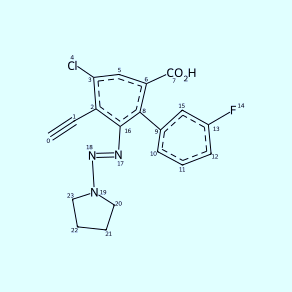 C#Cc1c(Cl)cc(C(=O)O)c(-c2cccc(F)c2)c1N=NN1CCCC1